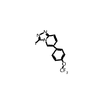 FC(F)(F)Oc1ccc(-c2ccc3nnc(I)n3c2)cc1